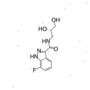 O=C(NC[C@H](O)CO)c1n[nH]c2c(F)cccc12